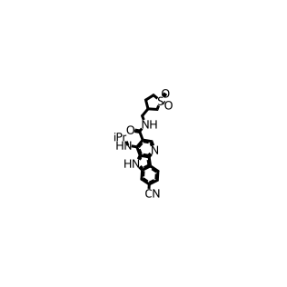 CC(C)Nc1c(C(=O)NCC2CCS(=O)(=O)C2)cnc2c1[nH]c1cc(C#N)ccc12